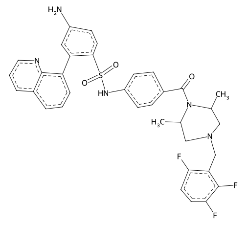 CC1CN(Cc2c(F)ccc(F)c2F)CC(C)N1C(=O)c1ccc(NS(=O)(=O)c2ccc(N)cc2-c2cccc3cccnc23)cc1